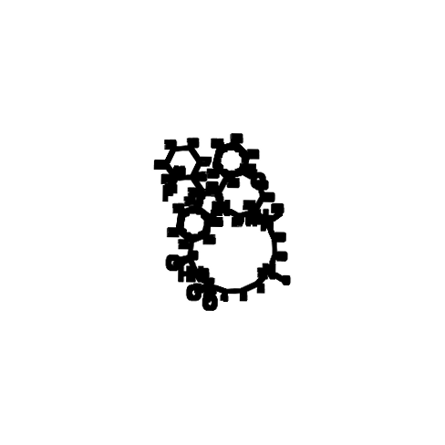 CN1CCCS(=O)(=O)NC(=O)c2ccc3c(C4CCCC[C@@H]4F)c4n(c3c2)C[C@H](COc2ccccc2-4)N(C)CC1